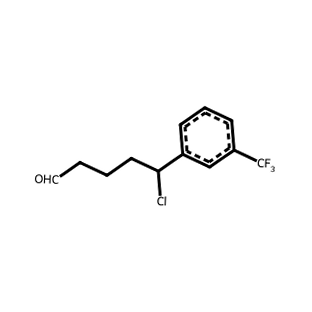 O=CCCCC(Cl)c1cccc(C(F)(F)F)c1